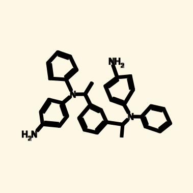 CC(c1cccc(C(C)N(c2ccccc2)c2ccc(N)cc2)c1)N(c1ccccc1)c1ccc(N)cc1